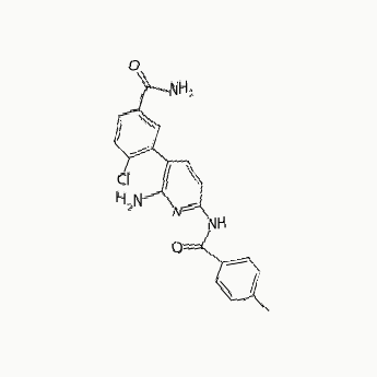 Cc1ccc(C(=O)Nc2ccc(-c3cc(C(N)=O)ccc3Cl)c(N)n2)cc1